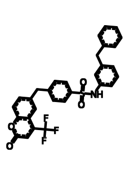 O=c1cc(C(F)(F)F)c2cc(Cc3ccc(S(=O)(=O)Nc4cccc(Cc5ccccc5)c4)cc3)ccc2o1